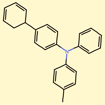 Cc1ccc(N(c2ccccc2)c2ccc(C3C=CC=CC3)cc2)cc1